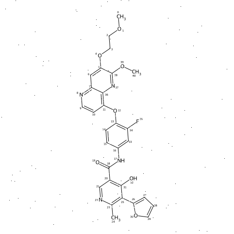 COCCOc1cc2nccc(Oc3ccc(NC(=O)c4cnc(C)c(-c5ccco5)c4O)cc3F)c2nc1OC